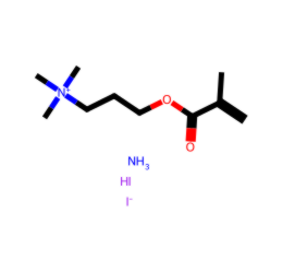 C=C(C)C(=O)OCCC[N+](C)(C)C.I.N.[I-]